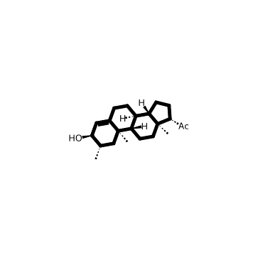 CC(=O)[C@H]1CC[C@H]2[C@@H]3CCC4=C[C@H](O)[C@@H](C)C[C@]4(C)[C@H]3CC[C@]12C